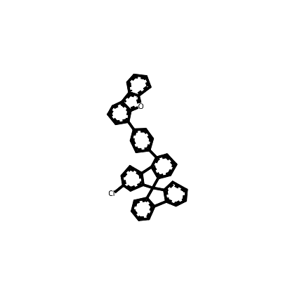 Clc1ccc2c(c1)C1(c3ccccc3-c3ccccc31)c1cccc(-c3ccc(-c4cccc5c4oc4ccccc45)cc3)c1-2